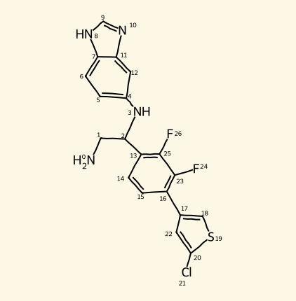 NCC(Nc1ccc2[nH]cnc2c1)c1ccc(-c2csc(Cl)c2)c(F)c1F